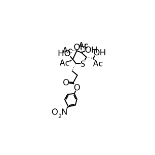 CC(=O)C(O)[C@@H]1S[C@H](CCC(=O)Oc2ccc([N+](=O)[O-])cc2)[C@@](O)(C(C)=O)[C@](O)(C(C)=O)[C@]1(O)C(C)=O